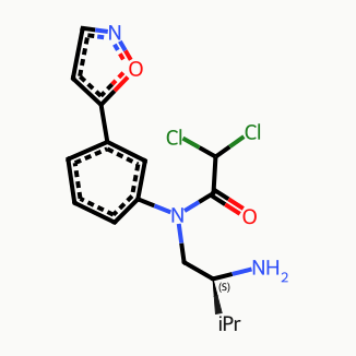 CC(C)[C@H](N)CN(C(=O)C(Cl)Cl)c1cccc(-c2ccno2)c1